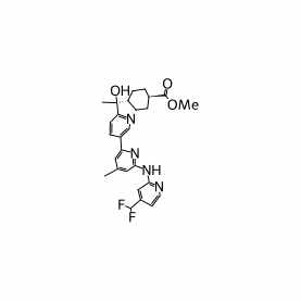 COC(=O)[C@H]1CC[C@H](C(C)(O)c2ccc(-c3cc(C)cc(Nc4cc(C(F)F)ccn4)n3)cn2)CC1